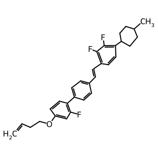 C=CCCOc1ccc(-c2ccc(/C=C/c3ccc(C4CCC(C)CC4)c(F)c3F)cc2)c(F)c1